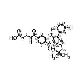 C[C@H](c1ccc(C(=O)NCCC(=O)O)cc1)N1C(=O)C(c2cc(Cl)ccc2F)=NC12CCC(C)(C)CC2